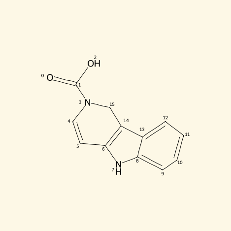 O=C(O)N1C=Cc2[nH]c3ccccc3c2C1